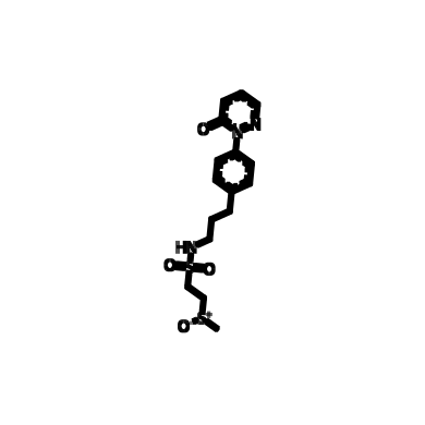 C[S+]([O-])CCS(=O)(=O)NCCCc1ccc(-n2ncccc2=O)cc1